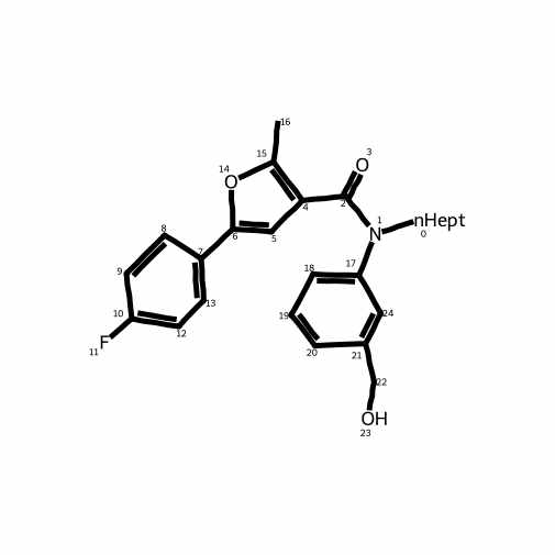 CCCCCCCN(C(=O)c1cc(-c2ccc(F)cc2)oc1C)c1cccc(CO)c1